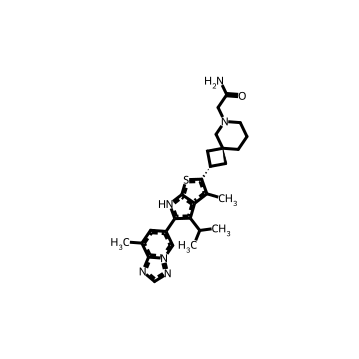 Cc1cc(-c2[nH]c3sc([C@H]4C[C@@]5(CCCN(CC(N)=O)C5)C4)c(C)c3c2C(C)C)cn2ncnc12